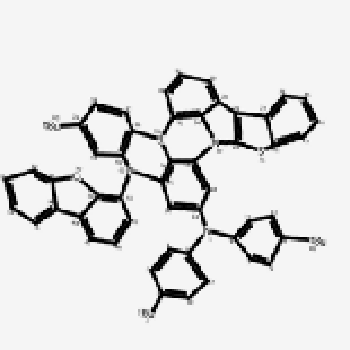 CC(C)(C)c1ccc(N(c2ccc(C(C)(C)C)cc2)c2cc3c4c(c2)-n2c5sc6ccccc6c5c5cccc(c52)B4c2ccc(C(C)(C)C)cc2N3c2cccc3c2oc2ccccc23)cc1